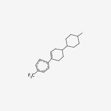 CC1CCC(C2CC=C(c3ccc(C(F)(F)F)cc3)CC2)CC1